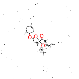 C=C[C@H](C)[C@H](O[Si](C)(C)C(C)(C)C)[C@@H](C)C(=O)C(C)(C)[C@@H](C)CC(=O)OC1CC=C(C)CC=C1C